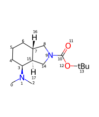 CN(C)[C@H]1CCC[C@@H]2CN(C(=O)OC(C)(C)C)C[C@H]21